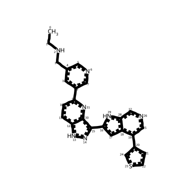 CCNCc1cncc(-c2ccc3[nH]nc(-c4cc5c(-c6ccsc6)cncc5[nH]4)c3n2)c1